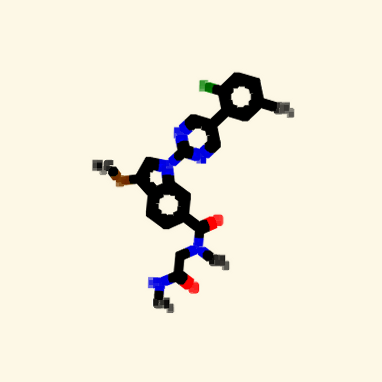 CNC(=O)CN(C)C(=O)c1ccc2c(SC)cn(-c3ncc(-c4cc(C)ccc4F)cn3)c2c1